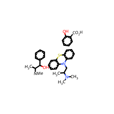 CC(CN1c2ccccc2Sc2ccccc21)N(C)C.CNC(C)C(O)c1ccccc1.O=C(O)c1ccccc1O